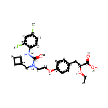 CCOC(Cc1ccc(OCCN(CC2CCC2)C(=O)Nc2ccc(F)cc2F)cc1)C(=O)O